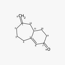 C=C1CCCC2=CC(=O)CCC2C1